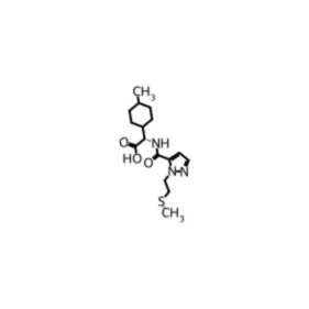 CSCCn1nccc1C(=O)N[C@H](C(=O)O)C1CCC(C)CC1